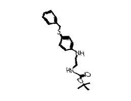 CC(C)(C)OC(=O)NCCNc1ccc(SCc2ccccc2)cc1